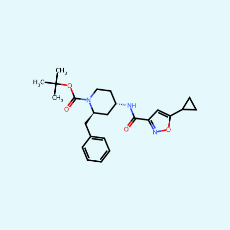 CC(C)(C)OC(=O)N1CC[C@H](NC(=O)c2cc(C3CC3)on2)C[C@H]1Cc1ccccc1